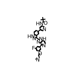 CN(C)CCOc1cc(F)cc(-c2nccc3[nH]c(-c4n[nH]c5ccc(-c6cncc(NC(=O)C(C)(C)C)c6)cc45)nc23)c1